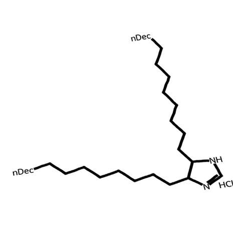 CCCCCCCCCCCCCCCCCCC1N=CNC1CCCCCCCCCCCCCCCCCC.Cl